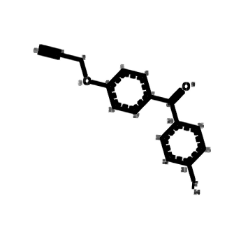 C#CCOc1ccc(C(=O)c2ccc(F)cc2)cc1